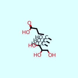 CC(=O)O.CC(=O)O.CC(=O)O.CCCC(=O)O.OCC(O)CO